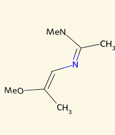 CN/C(C)=N\C=C(/C)OC